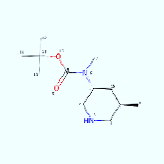 C[C@H]1CNC[C@H](N(C)C(=O)OC(C)(C)C)C1